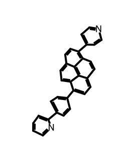 c1ccc(-c2ccc(-c3ccc4ccc5c(-c6ccncc6)ccc6ccc3c4c65)cc2)nc1